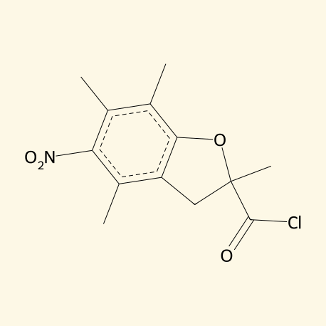 Cc1c(C)c([N+](=O)[O-])c(C)c2c1OC(C)(C(=O)Cl)C2